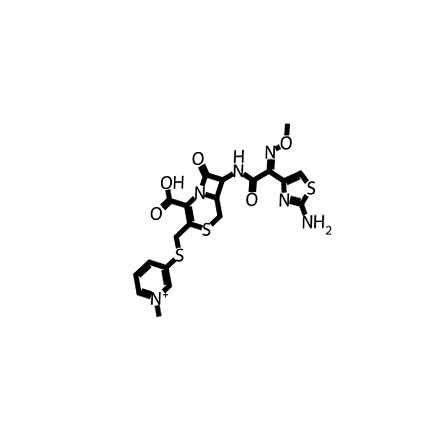 CON=C(C(=O)NC1C(=O)N2C(C(=O)O)=C(CSc3ccc[n+](C)c3)SCC12)c1csc(N)n1